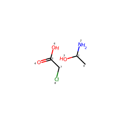 CC(N)O.O=C(O)CCl